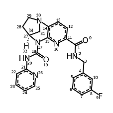 O=C(NCc1cccc(F)c1)c1ccc2c(n1)N(C(=O)Nc1ccccn1)[C@H]1CCN2C1